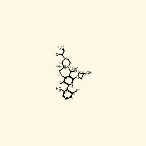 C=CC(=O)N1CCN2C(=O)c3c(N4C[C@H](O)[C@H]4C)nc(-c4c(O)cccc4F)c(Cl)c3OC[C@H]2C1